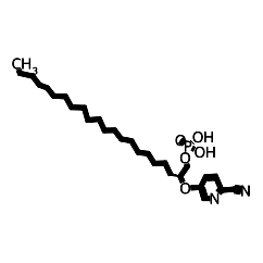 CCCCCCCCCCCCCCCCCCCC[C@@H](COP(=O)(O)O)Oc1ccc(C#N)nc1